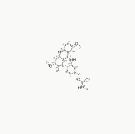 CNC(=O)OCc1cccc(Nc2c3cc(OC)ccc3nc3cc(OC)c(C)cc23)c1